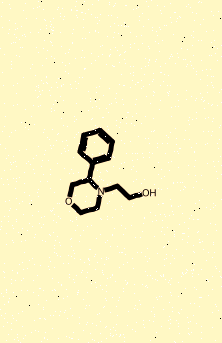 OCCN1CCOCC1c1ccccc1